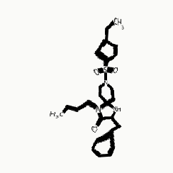 CCCCN1C(=O)C(Cc2ccccc2)NC12CCN(S(=O)(=O)c1ccc(CC)cc1)CC2